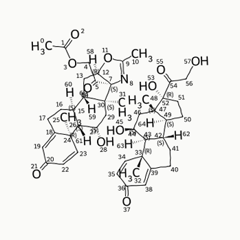 CC(=O)OCC(=O)[C@@]12N=C(C)O[C@@H]1C[C@H]1[C@@H]3CCC4=CC(=O)C=C[C@]4(C)[C@H]3[C@@H](O)C[C@@]12C.C[C@]12C=CC(=O)C=C1CC[C@@H]1[C@@H]2[C@@H](O)C[C@@]2(C)[C@H]1CC[C@]2(O)C(=O)CO